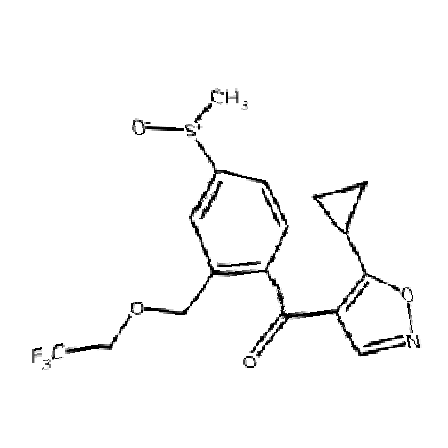 C[S+]([O-])c1ccc(C(=O)c2cnoc2C2CC2)c(COCC(F)(F)F)c1